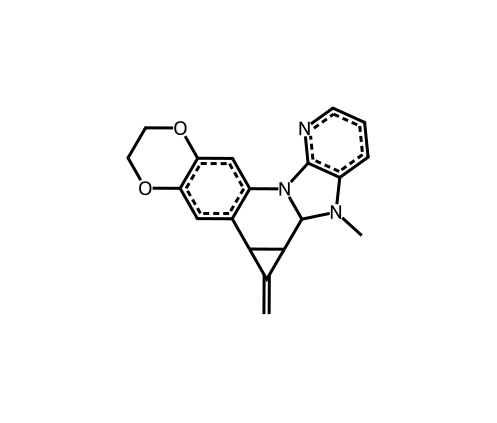 C=C1C2c3cc4c(cc3N3c5ncccc5N(C)C3C12)OCCO4